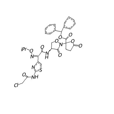 CC(C)O/N=C(\C(=O)N[C@H]1CON(C2(C(=O)OC(c3ccccc3)c3ccccc3)CCC(=O)O2)C1=O)c1csc(NC(=O)CCl)n1